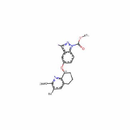 COc1nc2c(cc1C#N)CCC[C@@H]2Oc1ccc2c(c1)c(I)nn2C(=O)OC(C)(C)C